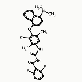 Cc1cc(NC(=S)NC(=O)c2c(F)cccc2F)c(C)c(Cl)c1Oc1ccc(N(C)C)c2ccccc12